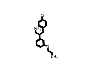 NCCOc1cccc(C(CN)Cc2ccc(Cl)cc2)c1